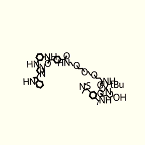 Cc1ncsc1-c1ccc([C@H](C)NC(=O)C2C[C@@H](O)CN2C(=O)[C@@H](NC(=O)CCOCCOCCOCCNC(=O)c2ccc(C(=O)Nc3cccc(Nc4cc(-c5c[nH]c6ccccc56)ncn4)c3)cc2)C(C)(C)C)cc1